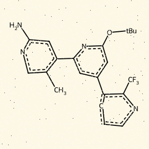 Cc1cnc(N)cc1-c1cc(-c2cccnc2C(F)(F)F)cc(OC(C)(C)C)n1